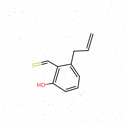 C=CCc1cccc(O)c1C=S